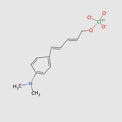 CN(C)c1ccc(C=CC=CCO[Cl+3]([O-])([O-])[O-])cc1